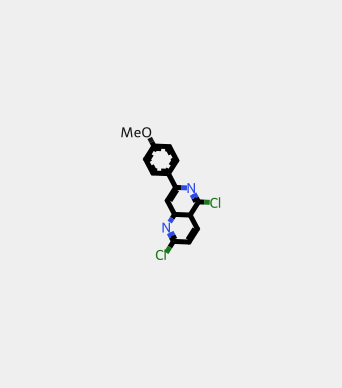 COc1ccc(C2=CC3N=C(Cl)C=CC3C(Cl)=N2)cc1